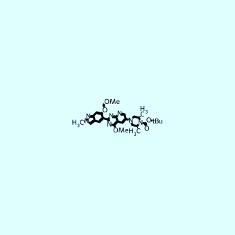 COCOc1cc2nn(C)cc2cc1-c1nc(OC)c2cc(N3C[C@@H](C)N(C(=O)OC(C)(C)C)[C@@H](C)C3)cnc2n1